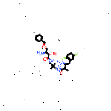 CC(C(=O)NCC(C)(C)CNC(=O)C(O)C(N)COCc1ccccc1)C(N)Cc1cc(F)ccc1F